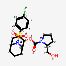 O=C(O[C@H]1CCC2CCCC1N2S(=O)(=O)c1ccc(Cl)cc1)N1CCC[C@H]1CO